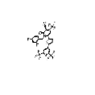 N#Cc1c(C(F)(F)F)cc(-c2ccc(-c3cc(C(F)(F)F)nc(C(F)(F)F)c3)s2)n(Cc2ccc(F)cc2F)c1=O